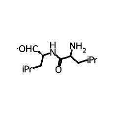 CC(C)CC(N)C(=O)N[C@H]([C]=O)CC(C)C